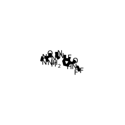 Nc1nccnc1C(=O)Nc1cnn(Cc2cccc(C(=O)NCC(F)F)c2F)c1